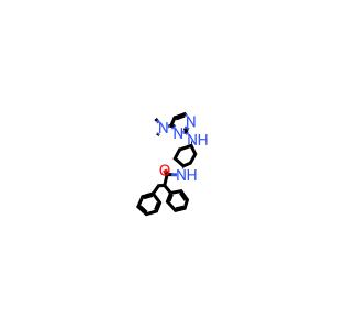 CN(C)c1ccnc(N[C@H]2CC[C@@H](NC(=O)C(Cc3ccccc3)c3ccccc3)CC2)n1